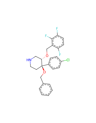 Fc1ccc(F)c(CO[C@H]2CNCC[C@@]2(OCc2ccccc2)c2ccc(Cl)cc2)c1F